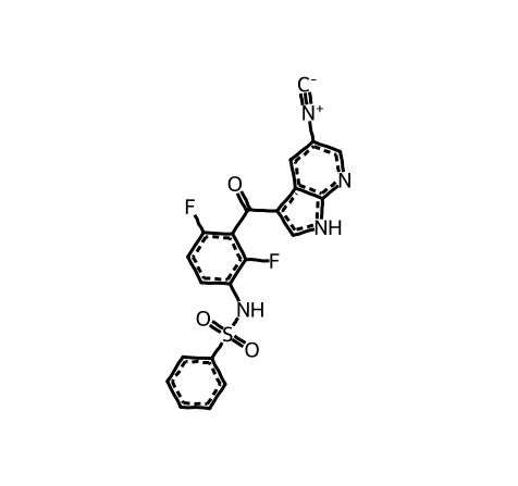 [C-]#[N+]c1cnc2[nH]cc(C(=O)c3c(F)ccc(NS(=O)(=O)c4ccccc4)c3F)c2c1